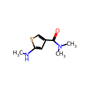 CNc1cc(C(=O)N(C)C)cs1